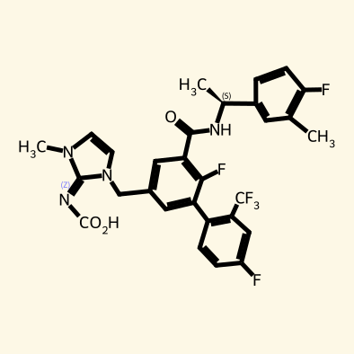 Cc1cc([C@H](C)NC(=O)c2cc(Cn3ccn(C)/c3=N/C(=O)O)cc(-c3ccc(F)cc3C(F)(F)F)c2F)ccc1F